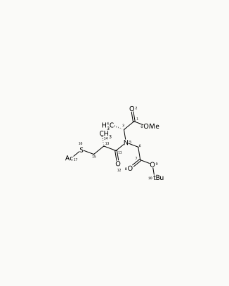 COC(=O)[C@@H](C)N(CC(=O)OC(C)(C)C)C(=O)[C@@H](C)CSC(C)=O